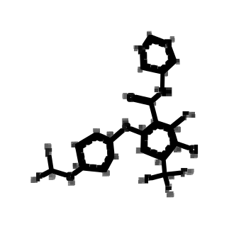 O=C(Nc1cncnc1)c1c(Oc2ccc(OC(F)F)cc2)cc(C(F)(F)F)c(Cl)c1F